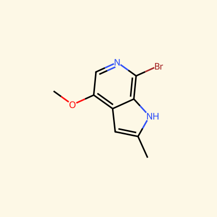 COc1cnc(Br)c2[nH]c(C)cc12